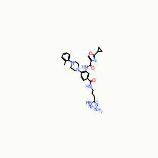 Cc1ccccc1N1CCN(c2ccc(C(=O)NCCC/C(=N/N)NN)cc2NC(=O)c2coc(C3CC3)n2)CC1